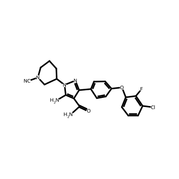 N#CN1CCCC(n2nc(-c3ccc(Oc4cccc(Cl)c4F)cc3)c(C(N)=O)c2N)C1